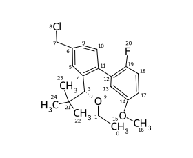 CCO[C@@H](c1cc(CCl)ccc1-c1cc(OC)ccc1F)C(C)(C)C